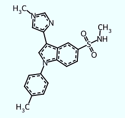 CNS(=O)(=O)c1ccc2c(c1)c(-c1cn(C)cn1)cn2-c1ccc(C)cc1